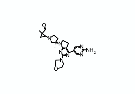 CC1(C=O)CC1N1CC[C@@](C)(N2CCc3c(-c4cnc(N)nc4)nc(N4CCOCC4)nc32)C1